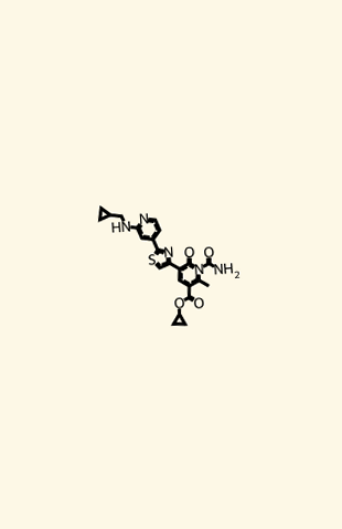 Cc1c(C(=O)OC2CC2)cc(-c2csc(-c3ccnc(NCC4CC4)c3)n2)c(=O)n1C(N)=O